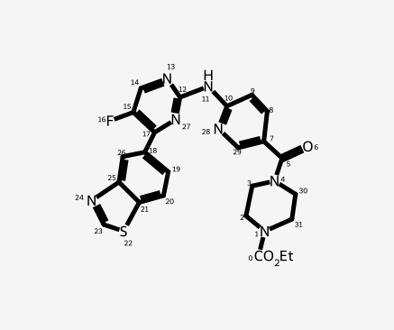 CCOC(=O)N1CCN(C(=O)c2ccc(Nc3ncc(F)c(-c4ccc5scnc5c4)n3)nc2)CC1